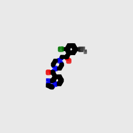 O=C(CN1CCN(C(=O)c2cccn3ccnc23)CC1)c1cc(C(F)(F)F)ccc1Cl